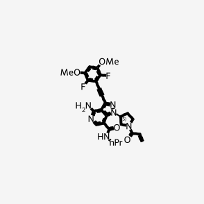 C=CC(=O)N1CC[C@H](n2nc(C#Cc3c(F)c(OC)cc(OC)c3F)c3c(N)ncc(C(=O)NCCC)c32)C1